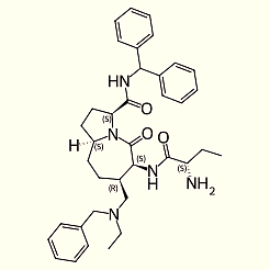 CC[C@H](N)C(=O)N[C@@H]1C(=O)N2[C@@H](CC[C@@H]1CN(CC)Cc1ccccc1)CC[C@H]2C(=O)NC(c1ccccc1)c1ccccc1